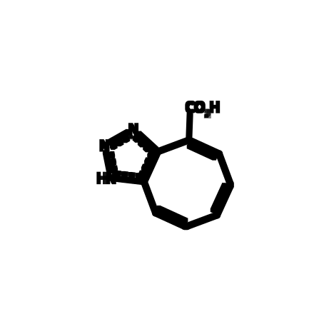 O=C(O)/C1=C/C=C\C=C/c2[nH]nnc21